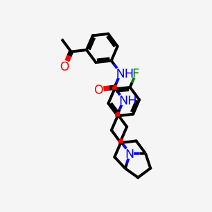 CC(=O)c1cccc(NC(=O)NCCCN2C3CCC2CC(Cc2ccc(F)cc2)C3)c1